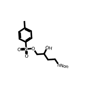 CCCCCCCCCCCC(O)COS(=O)(=O)c1ccc(C)cc1